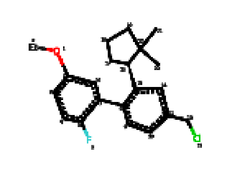 CCOc1ccc(F)c(-c2ccc(CCl)cc2[C@H]2CCCC2(C)C)c1